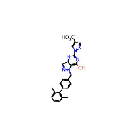 Cc1cccc(C)c1-c1ccc(Cn2ncc3nc(-n4cc(C(=O)O)cn4)nc(O)c32)cc1